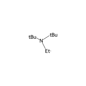 C[CH]N(C(C)(C)C)C(C)(C)C